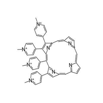 C[n+]1ccc(C2=CC3=CC4=NC(=CC5=NC(=CC6=NC(=C(c7cc[n+](C)cc7)C2=N3)C(c2cc[n+](C)cc2)=C6c2cc[n+](C)cc2)C=C5)C=C4)cc1